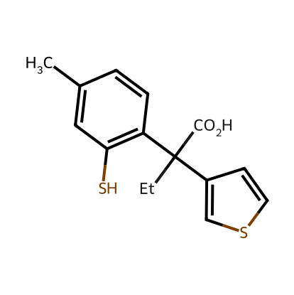 CCC(C(=O)O)(c1ccsc1)c1ccc(C)cc1S